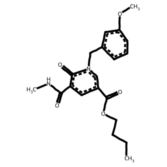 CCCCOC(=O)c1cc(C(=O)NC)c(=O)n(Cc2cccc(OC)c2)c1